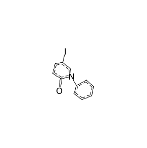 O=c1ccc(I)cn1-c1ccccc1